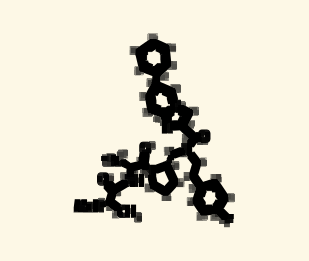 CN[C@@H](C)C(=O)N[C@H](C(=O)N1CCC[C@H]1CN(CCc1ccc(F)cc1)C(=O)c1cn2cc(-c3ccccc3)ccc2n1)C(C)(C)C